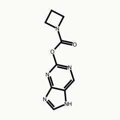 O=C(Oc1ncc2[nH]cnc2n1)N1CCC1